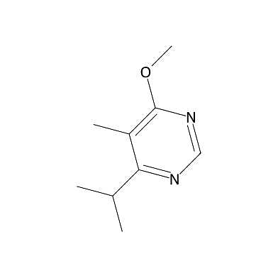 COc1ncnc(C(C)C)c1C